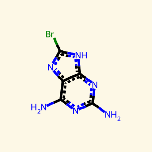 Nc1nc(N)c2nc(Br)[nH]c2n1